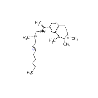 C=C(NC[C@@H](C)C/C=C/CCCCC)c1ccc2c(c1)N(C)C(C)[C@@H](C)CC2